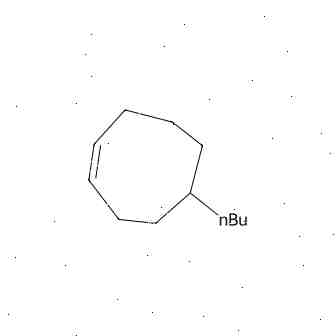 [CH2]CCCC1CCC=CCCC1